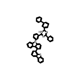 c1ccc(C2=NC(c3cccc(-c4ccccc4)c3)NC(c3cccc(-n4c5ccccc5c5c(-c6cccc7c6sc6ccccc67)cccc54)c3)=N2)cc1